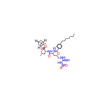 CCCCCCCc1ccc(C(=O)N[C@@H](CCCNC(=N)N[N+](=O)[O-])C(=O)N[C@@H](CC(C)C)B2O[C@@H]3C[C@@H]4C[C@@H](C4(C)C)[C@]3(C)O2)cc1